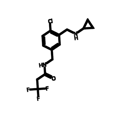 O=C(CC(F)(F)F)NCc1ccc(Cl)c(CNC2CC2)c1